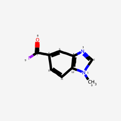 Cn1cnc2cc(C(=O)I)ccc21